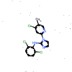 Cc1cnc(-n2ccnc2Nc2c(Cl)cccc2Cl)cc1Cl